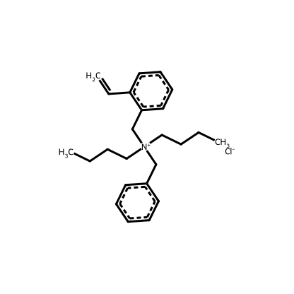 C=Cc1ccccc1C[N+](CCCC)(CCCC)Cc1ccccc1.[Cl-]